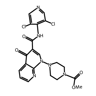 COC(=O)N1CCN(n2cc(C(=O)Nc3c(Cl)cncc3Cl)c(=O)c3cccnc32)CC1